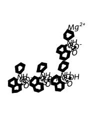 O=S(=O)(O)c1cccc2cccc(Nc3ccccc3)c12.O=S(=O)(O)c1cccc2cccc(Nc3ccccc3)c12.O=S(=O)([O-])c1cccc2cccc(Nc3ccccc3)c12.O=S(=O)([O-])c1cccc2cccc(Nc3ccccc3)c12.[Mg+2]